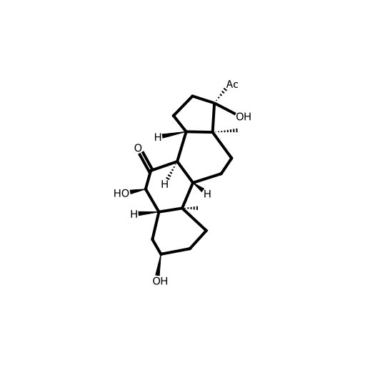 CC(=O)[C@@]1(O)CC[C@H]2[C@@H]3C(=O)[C@H](O)[C@H]4C[C@H](O)CC[C@]4(C)[C@H]3CC[C@@]21C